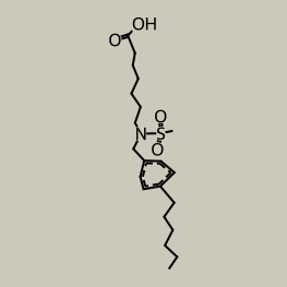 CCCCCCc1ccc(CN(CCCCCCC(=O)O)S(C)(=O)=O)cc1